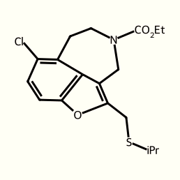 CCOC(=O)N1CCc2c(Cl)ccc3oc(CSC(C)C)c(c23)C1